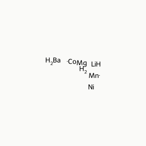 [BaH2].[Co].[LiH].[MgH2].[Mn].[Ni]